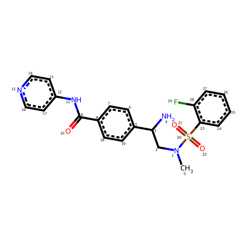 CN(CC(N)c1ccc(C(=O)Nc2ccncc2)cc1)S(=O)(=O)c1ccccc1F